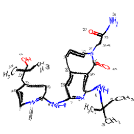 CC(C)(C)Nc1nc(Nc2cc(C(C)(C)O)ccn2)cc2ccn(CC(N)=O)c(=O)c12